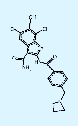 NC(=O)c1c(NC(=O)c2ccc(CN3CCC3)cc2)sc2c(Cl)c(O)c(Cl)cc12